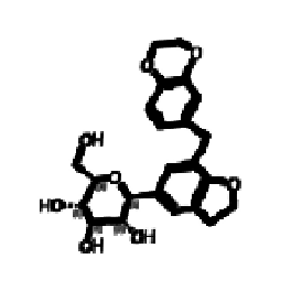 OC[C@H]1O[C@@H](c2cc3c(c(Cc4ccc5c(c4)OCCO5)c2)OCC3)[C@H](O)[C@@H](O)[C@@H]1O